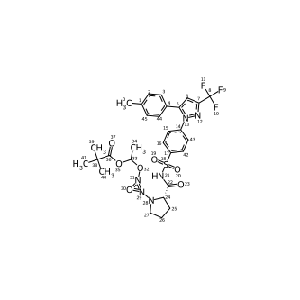 Cc1ccc(-c2cc(C(F)(F)F)nn2-c2ccc(S(=O)(=O)NC(=O)[C@@H]3CCCN3n3on3OC(C)OC(=O)C(C)(C)C)cc2)cc1